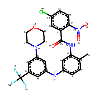 Cc1ccc(Nc2cc(N3CCOCC3)cc(C(F)(F)F)c2)cc1NC(=O)c1cc(Cl)ccc1[N+](=O)[O-]